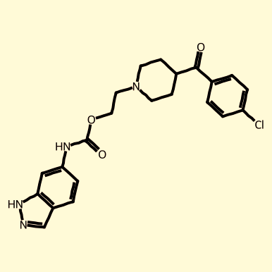 O=C(Nc1ccc2cn[nH]c2c1)OCCN1CCC(C(=O)c2ccc(Cl)cc2)CC1